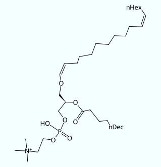 CCCCCC/C=C\CCCCCCCC/C=C\OC[C@H](COP(=O)(O)OCC[N+](C)(C)C)OC(=O)CCCCCCCCCCCCC